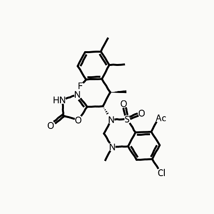 CC(=O)c1cc(Cl)cc2c1S(=O)(=O)N([C@H](c1n[nH]c(=O)o1)[C@H](C)c1c(F)ccc(C)c1C)CN2C